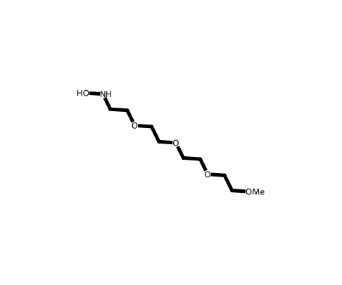 COCCOCCOCCOCCNO